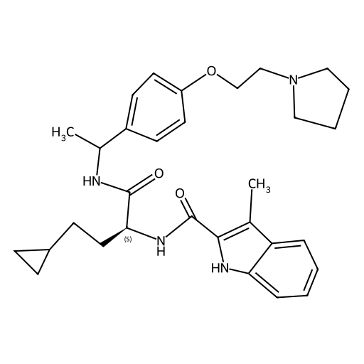 Cc1c(C(=O)N[C@@H](CCC2CC2)C(=O)NC(C)c2ccc(OCCN3CCCC3)cc2)[nH]c2ccccc12